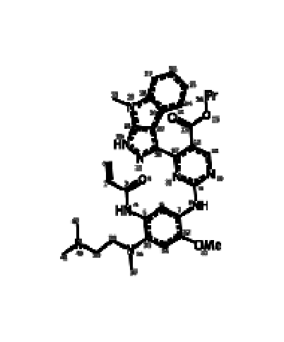 C=CC(=O)Nc1cc(Nc2ncc(C(=O)OC(C)C)c(-c3n[nH]c4c3c3ccccc3n4C)n2)c(OC)cc1N(C)CCN(C)C